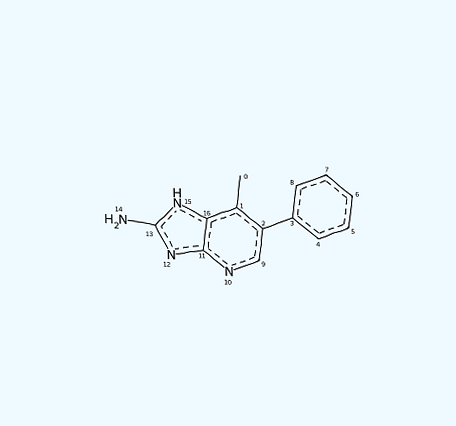 Cc1c(-c2ccccc2)cnc2nc(N)[nH]c12